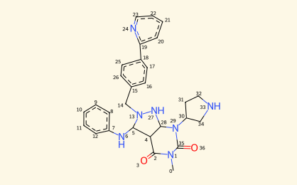 CN1C(=O)C2C(Nc3ccccc3)N(Cc3ccc(-c4ccccn4)cc3)NC2N(C2CCNC2)C1=O